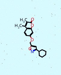 Cc1c(C)c2ccc(OCc3cc(C4CCCCC4)no3)cc2oc1=O